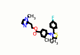 Cc1cc(C(=O)OCCc2nccn2C)ccc1N1C(C)CSC1c1ccc(F)cc1